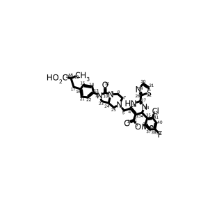 COC(=O)C1=C(CN2CCN3C(=O)N(c4ccc(CC(C)C(=O)O)cc4)CC3C2)NC(c2nccs2)=NC1c1ccc(F)cc1Cl